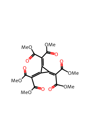 COC(=O)C(C(=O)OC)=C1C(=C(C(=O)OC)C(=O)OC)C1=C(C(=O)OC)C(=O)OC